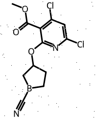 COC(=O)c1c(Cl)cc(Cl)nc1OC1CCB(C#N)C1